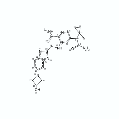 CNC(=O)c1nnc([C@]2(C(N)=O)CC23CC3)cc1NCc1nc2ccc(N3CC(O)C3)cn2n1